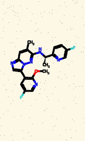 COc1ncc(F)cc1-c1cnc2cc(C)c(N[C@@H](C)c3ccc(F)cn3)nn12